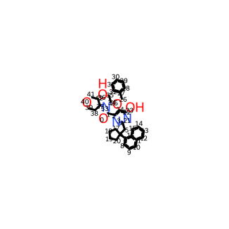 O=C(c1nc(CC2(c3cccc4ccccc34)CCCC2)nc(O)c1OCc1ccccc1)N(CCO)C1CCOCC1